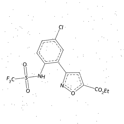 CCOC(=O)c1cc(-c2cc(Cl)ccc2NS(=O)(=O)C(F)(F)F)no1